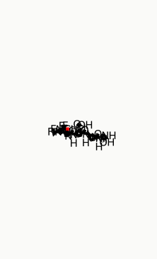 Cn1c(-c2cn(C3CC3(F)F)nc2C(F)(F)F)cnc1C(=O)Nc1ccc(C(=O)NCC2CCCN(C(=O)N[C@H]3CNC[C@@H]3O)C2)c(Cl)c1.O=CO